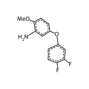 COc1ccc(Oc2ccc(F)c(F)c2)cc1N